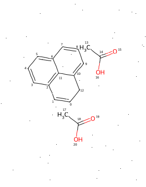 C1=Cc2cccc3cccc(c23)C1.CC(=O)O.CC(=O)O